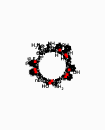 CCCC[C@H]1C(=O)N2C[C@@H](O)C[C@@H]2C(=O)N[C@@H](CC(N)=O)C(=O)N[C@@H](C(C)C)C(=O)N(C)[C@@H](Cc2ccccc2)C(=O)N[C@@H](Cc2ccc(O)cc2)C(=O)N2CCCC[C@@H]2C(=O)N[C@@H](Cc2c[nH]c3ccccc23)C(=O)N[C@@H](Cc2ccc(O)cc2)C(=O)N[C@@H](CCCN)C(=O)N[C@H](C(=O)NCC(N)=O)CSCC(=O)N[C@@H](Cc2cc(F)c(F)c(F)c2)C(=O)N(C)[C@@H](Cc2ccccc2)C(=O)N1C